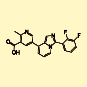 Cc1ncc(-c2cccn3c(-c4cccc(F)c4F)ncc23)cc1C(=O)O